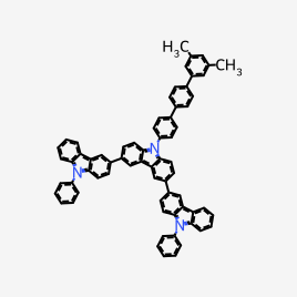 Cc1cc(C)cc(-c2ccc(-c3ccc(-n4c5ccc(-c6ccc7c(c6)c6ccccc6n7-c6ccccc6)cc5c5cc(-c6ccc7c(c6)c6ccccc6n7-c6ccccc6)ccc54)cc3)cc2)c1